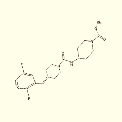 CC(C)(C)OC(=O)N1CCC(NC(=O)N2CCC(=Cc3cc(F)ccc3F)CC2)CC1